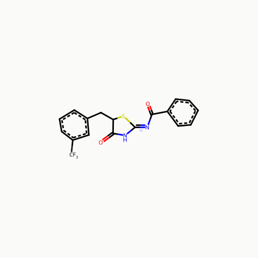 O=C(/N=C1/NC(=O)C(Cc2cccc(C(F)(F)F)c2)S1)c1ccccc1